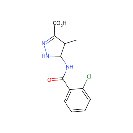 CC1C(C(=O)O)=NNC1NC(=O)c1ccccc1Cl